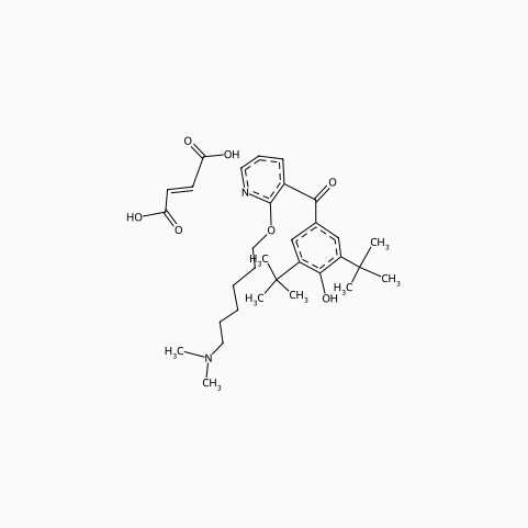 CN(C)CCCCCCOc1ncccc1C(=O)c1cc(C(C)(C)C)c(O)c(C(C)(C)C)c1.O=C(O)/C=C/C(=O)O